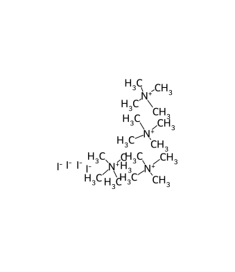 C[N+](C)(C)C.C[N+](C)(C)C.C[N+](C)(C)C.C[N+](C)(C)C.[I-].[I-].[I-].[I-]